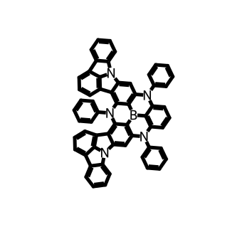 c1ccc(N2c3cccc4c3B3c5c2cc2c(c5N(c5ccccc5)c5c3c(cc3c5c5cccc6c7ccccc7n3c65)N4c3ccccc3)c3cccc4c5ccccc5n2c43)cc1